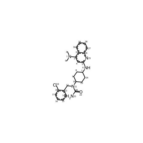 CN(C)c1cc(NC2CCC(N(Cc3ccccc3Cl)C(N)=O)CC2)nc2ccccc12